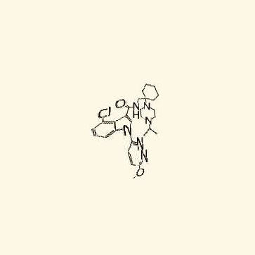 COc1ccc(-n2cc(C(=O)NCC3(N4CCN(C(C)C)CC4)CCCCC3)c3c(Cl)cccc32)nn1